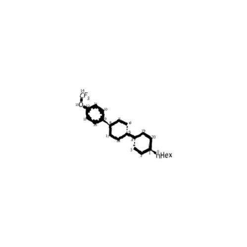 CCCCCC[C@H]1CC[C@H]([C@H]2CC[C@H](c3ccc(OC(F)(F)F)cc3)CC2)CC1